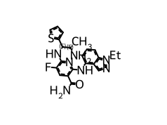 CCn1ncc2c(Nc3nc(N[C@H](c4cccs4)[C@H](C)N)c(F)cc3C(N)=O)cccc21